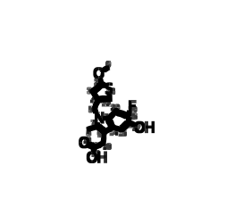 COc1cc(Cn2c(C)c(CC(=O)O)c3cc(O)c(F)cc32)cs1